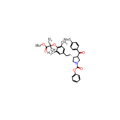 CSc1ccc(C(=O)C2CN(C(=O)Oc3ccccc3)C[C@@H]2CCc2cc(C)c(OC(C)(C)C(=O)OC(C)(C)C)c(C)c2)cc1